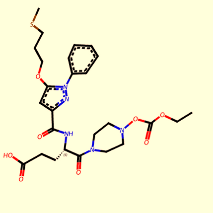 CCOC(=O)ON1CCN(C(=O)[C@H](CCC(=O)O)NC(=O)c2cc(OCCCSC)n(-c3ccccc3)n2)CC1